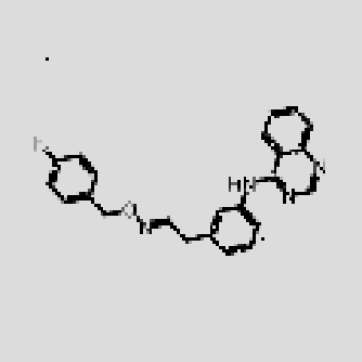 Fc1ccc(CON=CCc2cccc(Nc3ncnc4ccccc34)c2)cc1